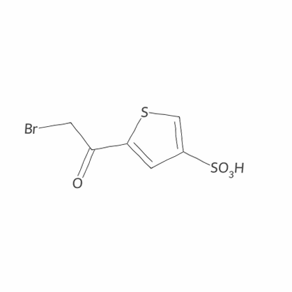 O=C(CBr)c1cc(S(=O)(=O)O)cs1